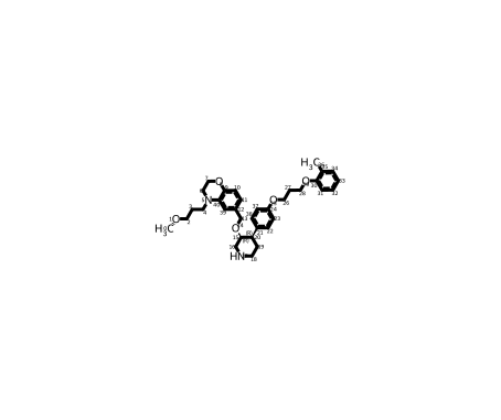 COCCCN1CCOc2ccc(CO[C@H]3CNCC[C@@H]3c3ccc(OCCCOc4ccccc4C)cc3)cc21